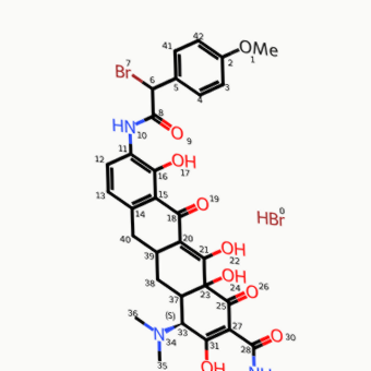 Br.COc1ccc(C(Br)C(=O)Nc2ccc3c(c2O)C(=O)C2=C(O)C4(O)C(=O)C(C(N)=O)=C(O)[C@@H](N(C)C)C4CC2C3)cc1